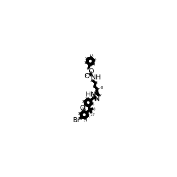 C[C@@H](CCCNC(=O)OCc1ccccc1)c1cnc(-c2ccc3c(c2)C(C)(C)c2ccc(Br)cc2O3)[nH]1